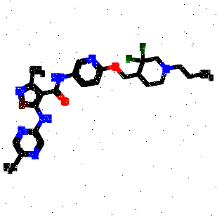 Cc1nsc(Nc2cnc(C(F)(F)F)cn2)c1C(=O)Nc1ccc(OCC2CCN(CCC(F)(F)F)CC2(F)F)nc1